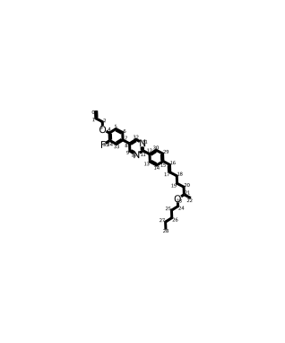 C=CCOc1ccc(-c2cnc(-c3ccc(C=CCCCC(C)OCCCCC)cc3)nc2)cc1F